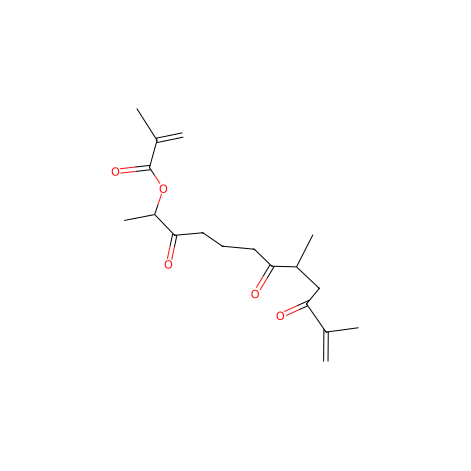 C=C(C)C(=O)CC(C)C(=O)CCCC(=O)C(C)OC(=O)C(=C)C